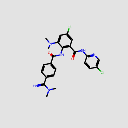 CN(C)C(=N)c1ccc(C(=O)Nc2c(C(=O)Nc3ccc(Cl)cn3)cc(Cl)cc2N(C)C)cc1